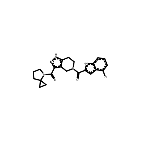 O=C(c1cc2c(Cl)cccc2[nH]1)N1CCc2[nH]nc(C(=O)N3CCCC34CC4)c2C1